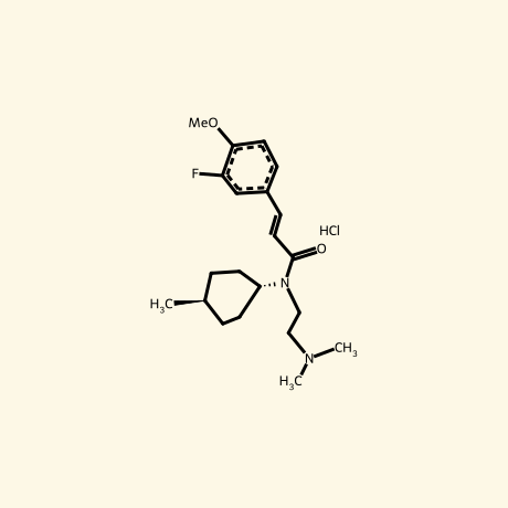 COc1ccc(/C=C/C(=O)N(CCN(C)C)[C@H]2CC[C@H](C)CC2)cc1F.Cl